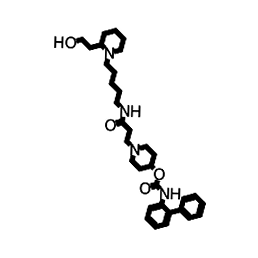 O=C(CCN1CCC(OC(=O)Nc2ccccc2-c2ccccc2)CC1)NCCCCCN1CCCCC1CCO